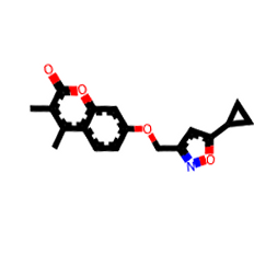 Cc1c(C)c2ccc(OCc3cc(C4CC4)on3)cc2oc1=O